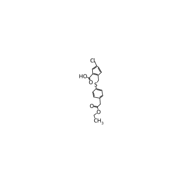 CCOC(=O)Cc1ccc(SCc2ccc(Cl)cc2C(=O)O)cc1